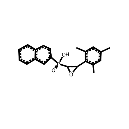 Cc1cc(C)c(C2OC2P(=O)(O)c2ccc3ccccc3c2)c(C)c1